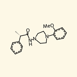 COc1ccccc1N1CCN(NC(=O)[C@@H](C)c2ccccc2)CC1